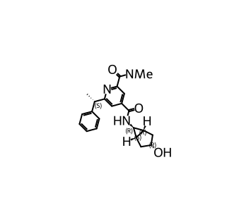 CNC(=O)c1cc(C(=O)N[C@H]2[C@@H]3C[C@H](O)C[C@@H]32)cc([C@@H](C)c2ccccc2)n1